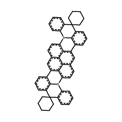 c1ccc2c(c1)B1c3c(cccc3C23CCCCC3)-c2cc3ccc4c5c(cc6ccc1c2c6c35)-c1cccc2c1B4c1ccccc1C21CCCCC1